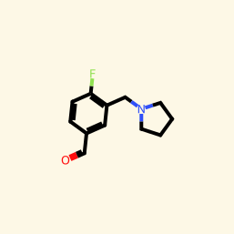 O=Cc1ccc(F)c(CN2CCCC2)c1